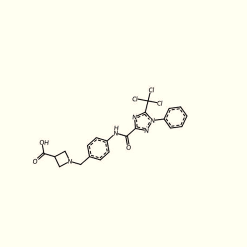 O=C(Nc1ccc(CN2CC(C(=O)O)C2)cc1)c1nc(C(Cl)(Cl)Cl)n(-c2ccccc2)n1